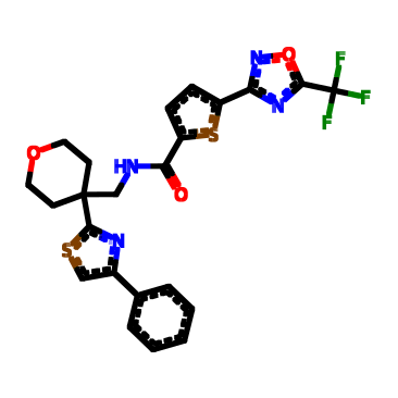 O=C(NCC1(c2nc(-c3ccccc3)cs2)CCOCC1)c1ccc(-c2noc(C(F)(F)F)n2)s1